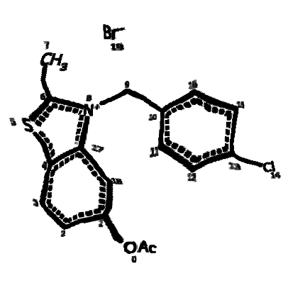 CC(=O)Oc1ccc2sc(C)[n+](Cc3ccc(Cl)cc3)c2c1.[Br-]